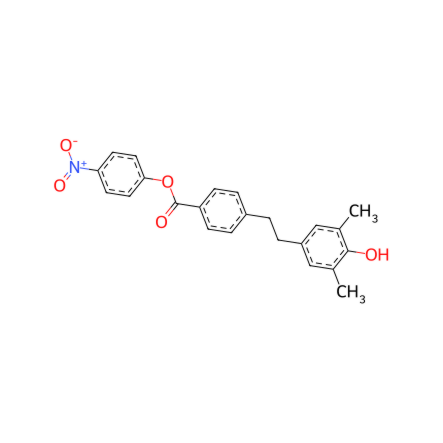 Cc1cc(CCc2ccc(C(=O)Oc3ccc([N+](=O)[O-])cc3)cc2)cc(C)c1O